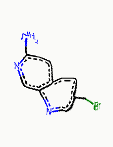 Nc1cc2cc(Br)cnc2cn1